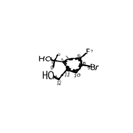 CC(C)(O)c1cc(F)c(Br)cc1CO